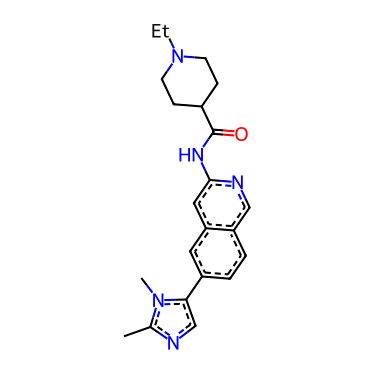 CCN1CCC(C(=O)Nc2cc3cc(-c4cnc(C)n4C)ccc3cn2)CC1